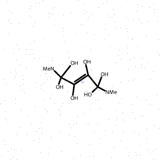 CNC(O)(O)/C(O)=C(\O)C(O)(O)NC